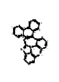 CCc1nc2cccc3c2n1-c1c(cccc1-c1cc2ccccc2c2ccccc12)S3